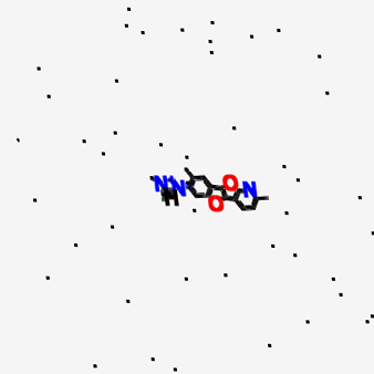 Cc1ccc2c(n1)oc1c3cc(C)c([N+]45C=C[N+](C)(C4)[C@@H]5C)cc3oc21